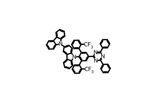 FC(F)(F)c1ccccc1-c1cc(-c2nc(-c3ccccc3)nc(-c3ccccc3)n2)cc(-c2ccccc2C(F)(F)F)c1-n1c2ccccc2c2cc(-n3c4ccccc4c4ccccc43)ccc21